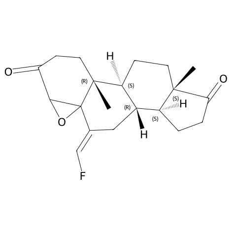 C[C@]12CC[C@H]3[C@@H](CC(=CF)C45OC4C(=O)CC[C@]35C)[C@@H]1CCC2=O